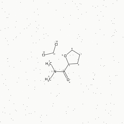 CN(C)C(=O)C1CCCO1.ClCCl